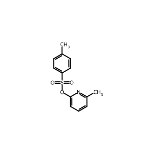 Cc1ccc(S(=O)(=O)Oc2cccc(C)n2)cc1